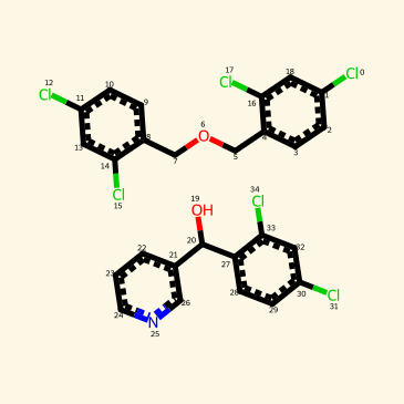 Clc1ccc(COCc2ccc(Cl)cc2Cl)c(Cl)c1.OC(c1cccnc1)c1ccc(Cl)cc1Cl